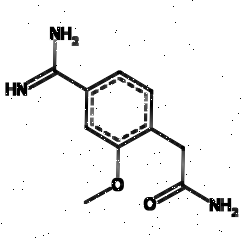 COc1cc(C(=N)N)ccc1CC(N)=O